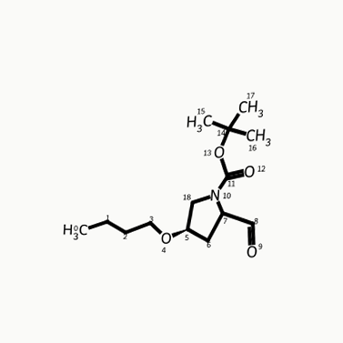 CCCCO[C@@H]1CC(C=O)N(C(=O)OC(C)(C)C)C1